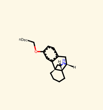 CCCCCCCCCCCOc1ccc2c(c1)[C@@]13CCCC[C@H]1[C@@H](C2)NCC3